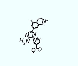 COC(=O)c1cnn(-c2nc(-c3cc(C)c4c(c3)CN(C)CC4)cnc2N)c1